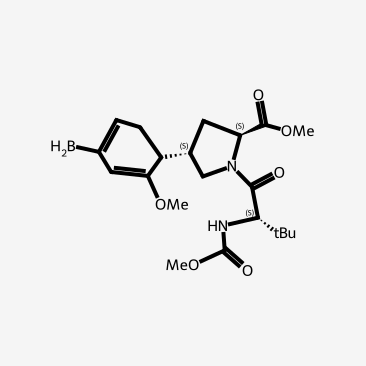 BC1=CCC([C@@H]2C[C@@H](C(=O)OC)N(C(=O)[C@@H](NC(=O)OC)C(C)(C)C)C2)C(OC)=C1